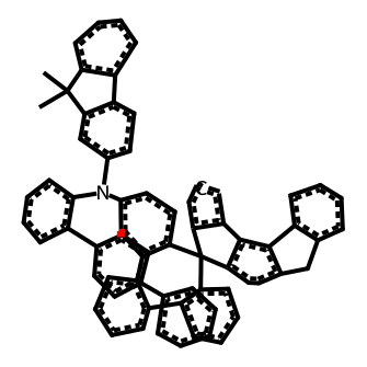 CC1(C)c2ccccc2-c2ccc(N(c3ccc4c(c3)-c3ccccc3-c3ccccc3C43c4ccccc4-c4c3ccc3c4-c4ccccc4C3)c3ccccc3-c3ccc(-c4ccccc4)cc3)cc21